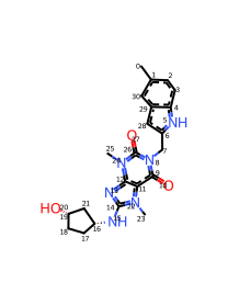 Cc1ccc2[nH]c(Cn3c(=O)c4c(nc(N[C@@H]5CC[C@H](O)C5)n4C)n(C)c3=O)cc2c1